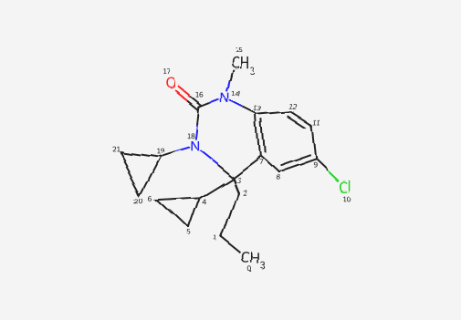 CCCC1(C2CC2)c2cc(Cl)ccc2N(C)C(=O)N1C1CC1